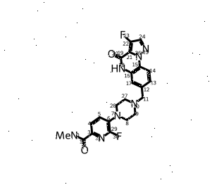 CNC(=O)c1ccc(N2CCN(Cc3ccc4c(c3)[nH]c(=O)c3c(F)cnn34)CC2)c(F)n1